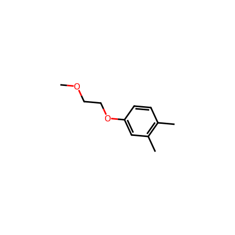 COCCOc1ccc(C)c(C)c1